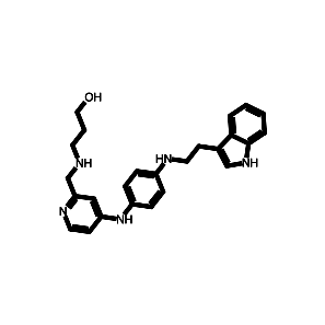 OCCCNCc1cc(Nc2ccc(NCCc3c[nH]c4ccccc34)cc2)ccn1